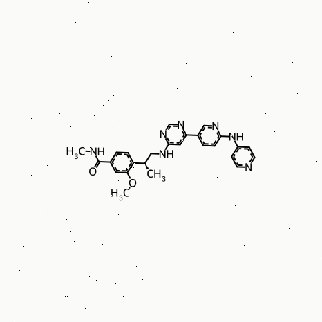 CNC(=O)c1ccc([C@H](C)CNc2cc(-c3ccc(Nc4ccncc4)nc3)ncn2)c(OC)c1